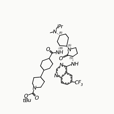 CC(C)N(C)[C@@H]1CC[C@H](N2CC[C@H](Nc3ncnc4ccc(C(F)(F)F)cc34)C2=O)[C@H](NC(=O)C2CCC(C3CCN(C(=O)OC(C)(C)C)CC3)CC2)C1